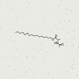 CCCCCCCCCCCCCCCCOC(=O)C(C)NC(C)=O